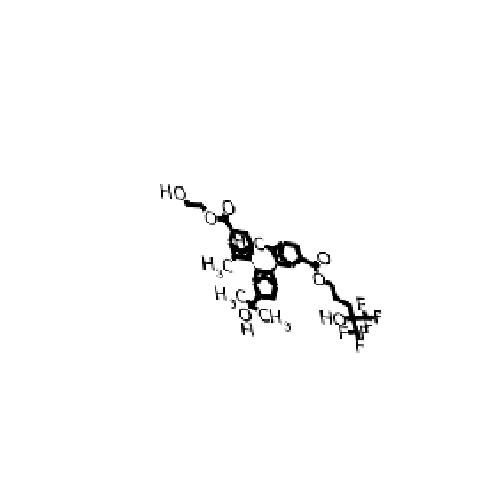 CC1C2CC(CC2C(=O)OCCO)[C@@H]1C1C2CC(CC2C(C)(C)O)C1[C@H]1C(C)C2CC(C(=O)OCCCC(O)(C(F)(F)F)C(F)(F)F)C1C2